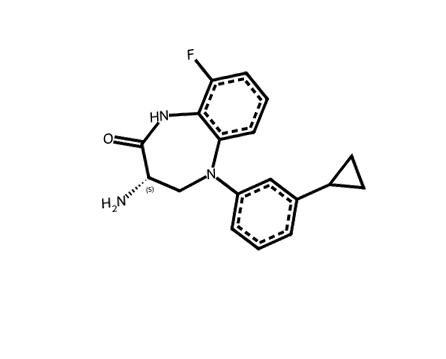 N[C@H]1CN(c2cccc(C3CC3)c2)c2cccc(F)c2NC1=O